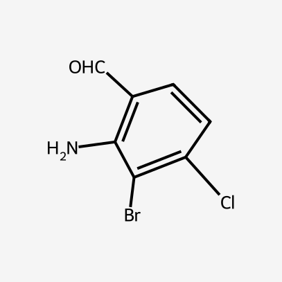 Nc1c(C=O)ccc(Cl)c1Br